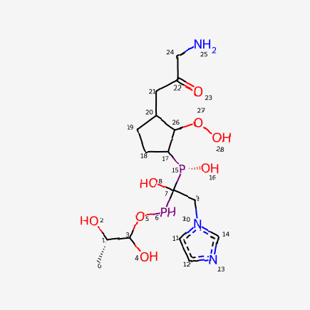 C[C@H](O)C(O)OPC(O)(Cn1ccnc1)[P@@](O)C1CCC(CC(=O)CN)C1OO